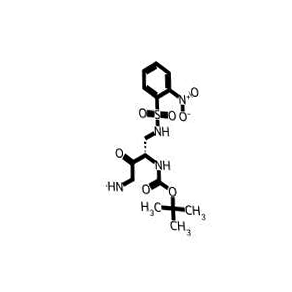 CC(C)(C)OC(=O)N[C@@H](CNS(=O)(=O)c1ccccc1[N+](=O)[O-])C(=O)C[NH]